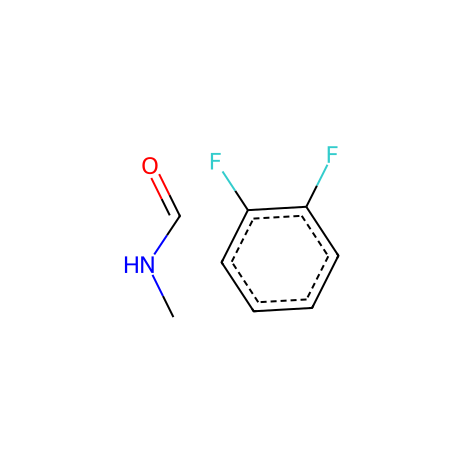 CNC=O.Fc1ccccc1F